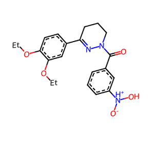 CCOc1ccc(C2=NN(C(=O)c3cccc([NH+]([O-])O)c3)CCC2)cc1OCC